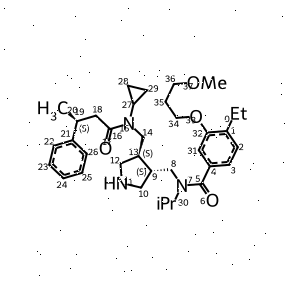 CCc1ccc(C(=O)N(C[C@@H]2CNC[C@H]2CN(C(=O)C[C@H](C)c2ccccc2)C2CC2)C(C)C)cc1OCCCOC